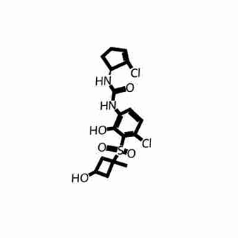 CC1(S(=O)(=O)c2c(Cl)ccc(NC(=O)N[C@@H]3CCC=C3Cl)c2O)CC(O)C1